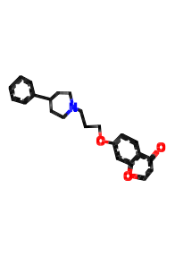 O=c1ccoc2cc(OCCCN3CCC(c4ccccc4)CC3)ccc12